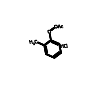 CC(=O)OOc1ccccc1C.Cl